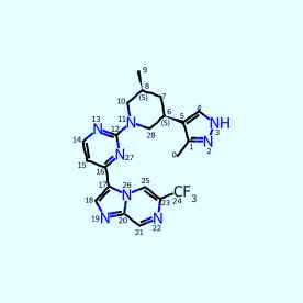 Cc1n[nH]cc1[C@@H]1C[C@H](C)CN(c2nccc(-c3cnc4cnc(C(F)(F)F)cn34)n2)C1